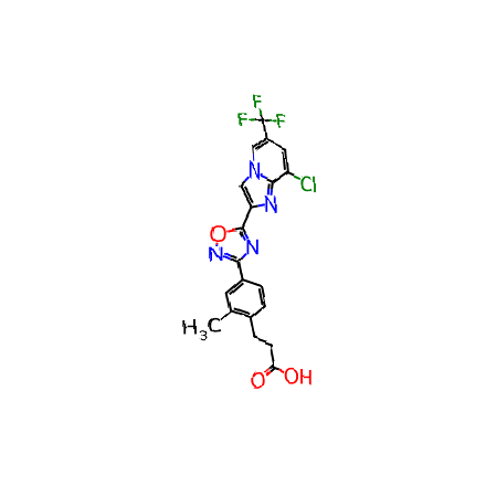 Cc1cc(-c2noc(-c3cn4cc(C(F)(F)F)cc(Cl)c4n3)n2)ccc1CCC(=O)O